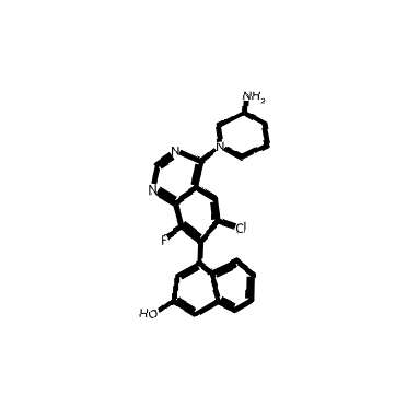 NC1CCCN(c2ncnc3c(F)c(-c4cc(O)cc5ccccc45)c(Cl)cc23)C1